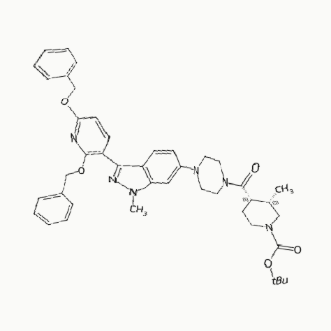 C[C@@H]1CN(C(=O)OC(C)(C)C)CC[C@@H]1C(=O)N1CCN(c2ccc3c(-c4ccc(OCc5ccccc5)nc4OCc4ccccc4)nn(C)c3c2)CC1